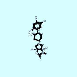 CN1C(=O)O[C@H]2CN([C@H]3CC[C@H](c4cc(F)c(F)cc4F)C(N)C3)C[C@H]21